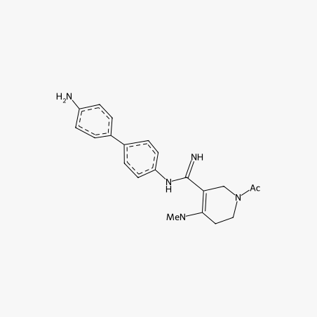 CNC1=C(C(=N)Nc2ccc(-c3ccc(N)cc3)cc2)CN(C(C)=O)CC1